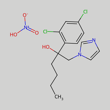 CCCCC(O)(Cn1ccnc1)c1ccc(Cl)cc1Cl.O=[N+]([O-])O